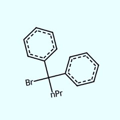 CCCC(Br)(c1ccccc1)c1ccccc1